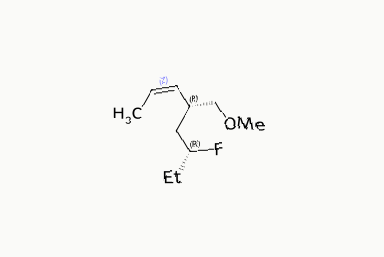 C/C=C\[C@H](COC)C[C@H](F)CC